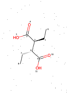 CC[C@H](C(=O)O)[C@@H](CC)C(=O)O